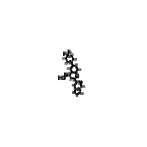 ON=c1cc(-c2cc3cccn3cn2)oc2ccc(N3CCC(F)(F)CC3)cc12